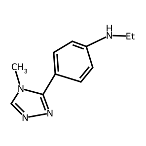 CCNc1ccc(-c2nncn2C)cc1